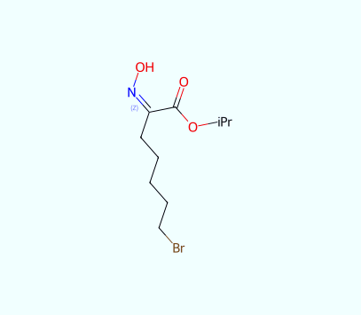 CC(C)OC(=O)/C(CCCCCBr)=N\O